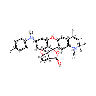 CCN(c1ccc(C)cc1)c1ccc2c(c1)Oc1cc3c(cc1C21OC(=O)C2=CC=CC(=O)C21)N(CC)C(C)(C)C=C3C